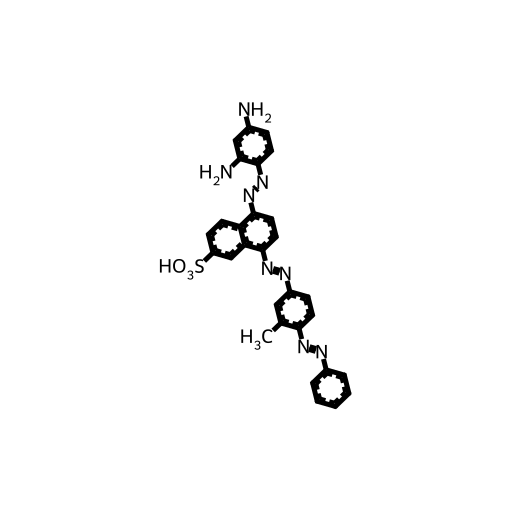 Cc1cc(N=Nc2ccc(N=Nc3ccc(N)cc3N)c3ccc(S(=O)(=O)O)cc23)ccc1N=Nc1ccccc1